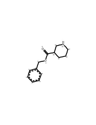 O=C(OCc1ccccc1)C1CCCNC1